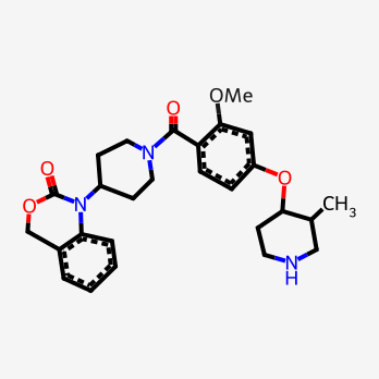 COc1cc(OC2CCNCC2C)ccc1C(=O)N1CCC(N2C(=O)OCc3ccccc32)CC1